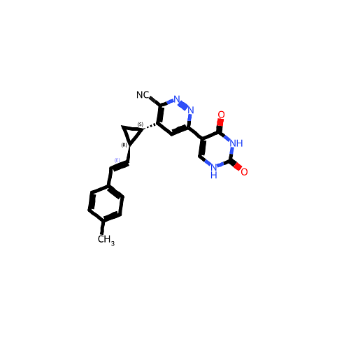 Cc1ccc(/C=C/[C@H]2C[C@@H]2c2cc(-c3c[nH]c(=O)[nH]c3=O)nnc2C#N)cc1